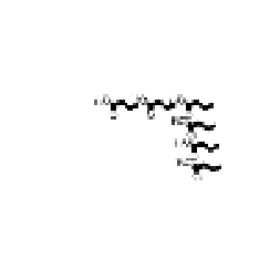 CCCC(=O)O.CCCC(=O)O.CCCC(=O)O.CCCC(=O)O.CCCC(=O)O.CCCC(=O)O